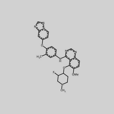 COc1ccc2ncnc(Nc3ccc(Oc4ccn5ncnc5c4)c(C)c3)c2c1OC1CCN(C)CC1F